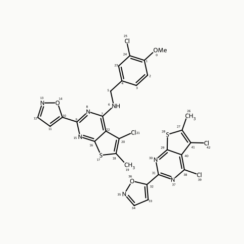 COc1ccc(CNc2nc(-c3ccno3)nc3sc(C)c(Cl)c23)cc1Cl.Cc1sc2nc(-c3ccno3)nc(Cl)c2c1Cl